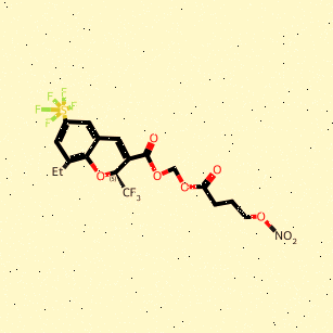 CCc1cc(S(F)(F)(F)(F)F)cc2c1O[C@H](C(F)(F)F)C(C(=O)OCOC(=O)CCCO[N+](=O)[O-])=C2